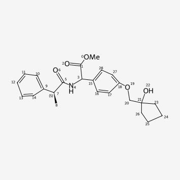 COC(=O)C(NC(=O)[C@@H](C)c1ccccc1)c1ccc(OCC2(O)CCCC2)cc1